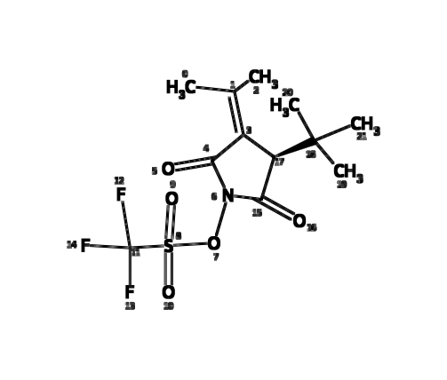 CC(C)=C1C(=O)N(OS(=O)(=O)C(F)(F)F)C(=O)[C@@H]1C(C)(C)C